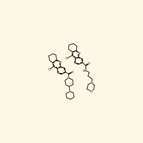 O=C(NCCCN1CCOCC1)c1ccc2c(Cl)c3c(nc2c1)CCCC3.O=C(c1ccc2c(Cl)c3c(nc2c1)CCCC3)N1CCC(N2CCCCC2)CC1